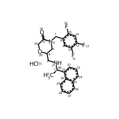 C[C@@H](NCC1CN(Cc2cc(F)c(F)cc2F)C(=O)CO1)c1cccc2ccccc12.Cl